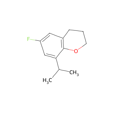 CC(C)c1cc(F)cc2c1OCCC2